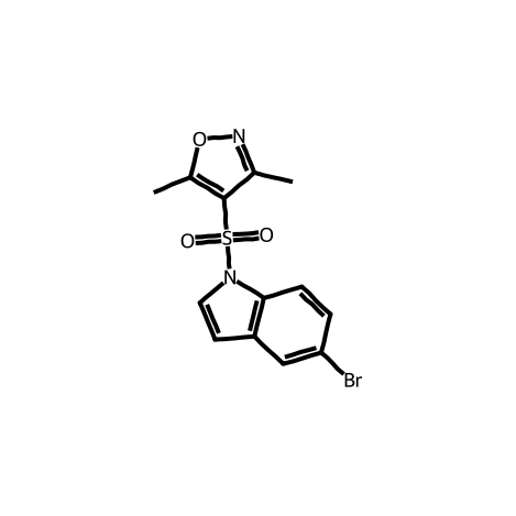 Cc1noc(C)c1S(=O)(=O)n1ccc2cc(Br)ccc21